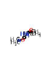 CN(C)CCOc1ccc(-c2nc3cc(C(=O)C(C)(C)C)ccc3[nH]2)cc1